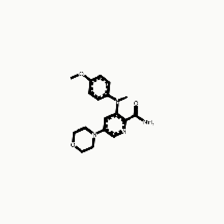 COc1ccc(N(C)c2cc(N3CCOCC3)cnc2C(N)=O)cc1